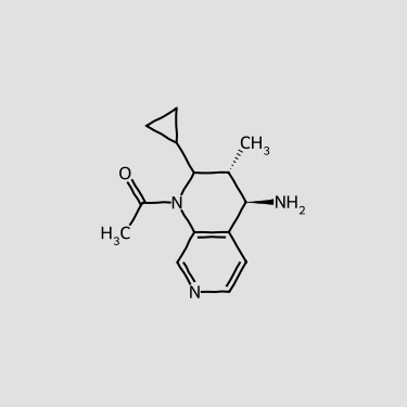 CC(=O)N1c2cnccc2[C@H](N)[C@@H](C)C1C1CC1